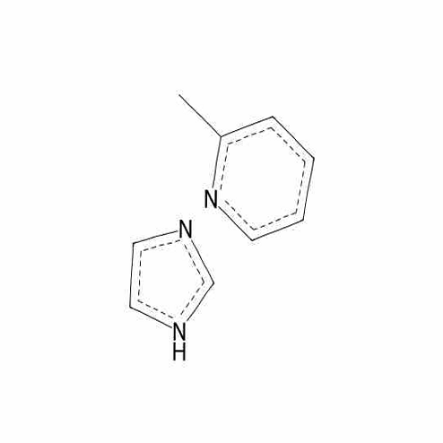 Cc1ccccn1.c1c[nH]cn1